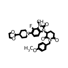 COc1ccc(CN2C(=O)CCC(n3c(=O)n(C)c4c(F)c(N5CCC(C6OCCO6)CC5)ccc43)C2=O)cc1